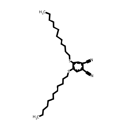 CCCCCCCCCCCCSc1cc(C#N)c(C#N)cc1SCCCCCCCCCCCC